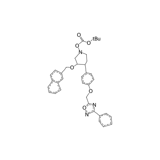 CC(C)(C)OC(=O)ON1CCC(c2ccc(OCc3nc(-c4ccccc4)no3)cc2)C(OCc2ccc3ccccc3c2)C1